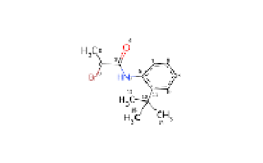 CC(Br)C(=O)Nc1ccccc1C(C)(C)C